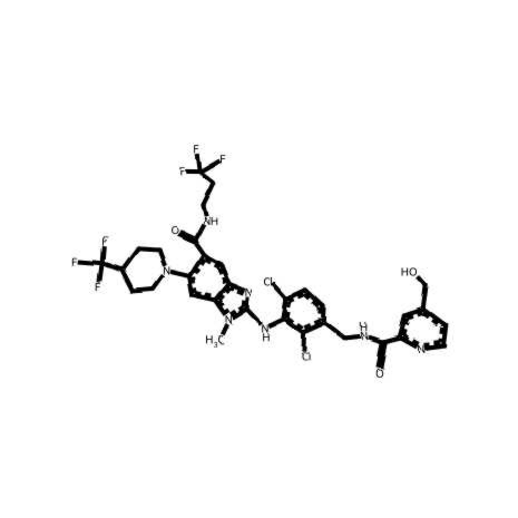 Cn1c(Nc2c(Cl)ccc(CNC(=O)c3cc(CO)ccn3)c2Cl)nc2cc(C(=O)NCCC(F)(F)F)c(N3CCC(C(F)(F)F)CC3)cc21